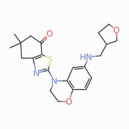 CC1(C)CC(=O)c2sc(N3CCOc4ccc(NCC5CCOC5)cc43)nc2C1